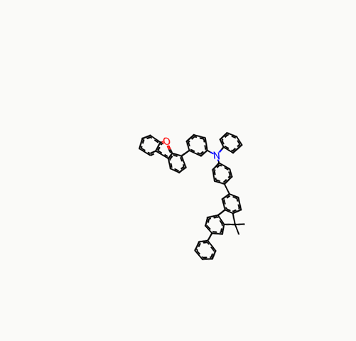 CC1(C)c2ccc(-c3ccc(N(c4ccccc4)c4cccc(-c5cccc6c5oc5ccccc56)c4)cc3)cc2-c2ccc(-c3ccccc3)cc21